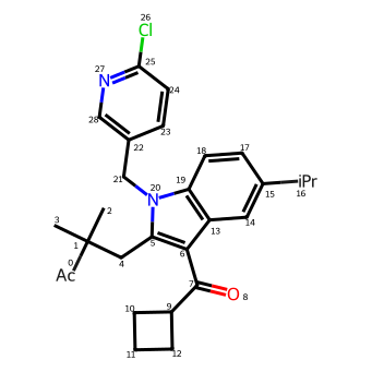 CC(=O)C(C)(C)Cc1c(C(=O)C2CCC2)c2cc(C(C)C)ccc2n1Cc1ccc(Cl)nc1